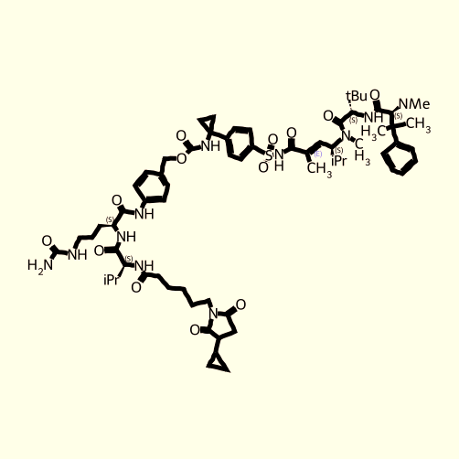 CN[C@H](C(=O)N[C@H](C(=O)N(C)[C@H](/C=C(\C)C(=O)NS(=O)(=O)c1ccc(C2(NC(=O)OCc3ccc(NC(=O)[C@H](CCCNC(N)=O)NC(=O)[C@@H](NC(=O)CCCCCN4C(=O)CC(C5CC5)C4=O)C(C)C)cc3)CC2)cc1)C(C)C)C(C)(C)C)C(C)(C)c1ccccc1